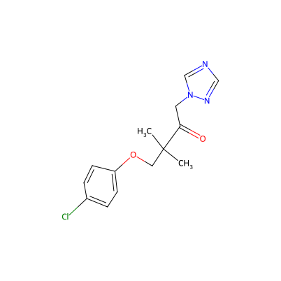 CC(C)(COc1ccc(Cl)cc1)C(=O)Cn1cncn1